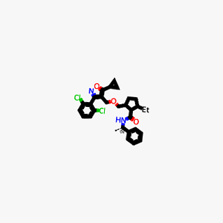 CCC1CCC(COCc2c(-c3c(Cl)cccc3Cl)noc2C2CC2)C1C(=O)N[C@@H](C)c1ccccc1